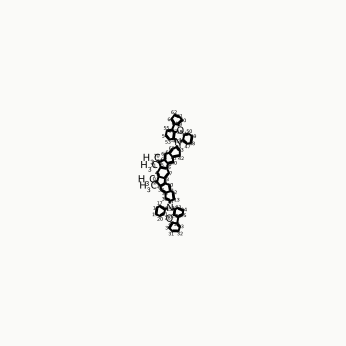 CC1(C)c2cc3c(cc2-c2cc4ccc(N(c5ccccc5)c5cccc6c5oc5ccccc56)cc4cc21)-c1cc2ccc(N(c4ccccc4)c4cccc5c4oc4ccccc45)cc2cc1C3(C)C